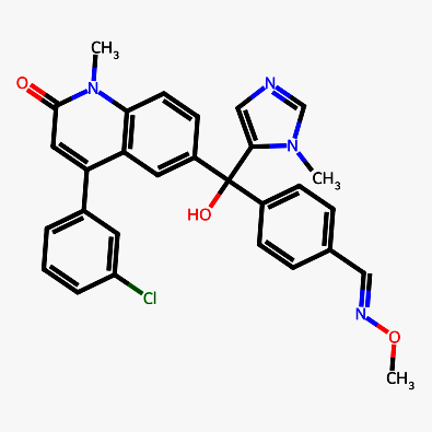 CON=Cc1ccc(C(O)(c2ccc3c(c2)c(-c2cccc(Cl)c2)cc(=O)n3C)c2cncn2C)cc1